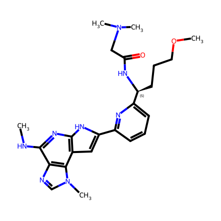 CNc1nc2[nH]c(-c3cccc([C@H](CCCOC)NC(=O)CN(C)C)n3)cc2c2c1ncn2C